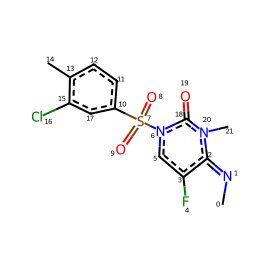 C/N=c1\c(F)cn(S(=O)(=O)c2ccc(C)c(Cl)c2)c(=O)n1C